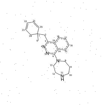 CC1(Cc2nnc(N3CCCNCC3)c3ccccc23)C=CC=CC1